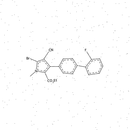 CCOC(=O)c1c(-c2ccc(-c3ccccc3F)cc2)c(C#N)c(Br)n1C